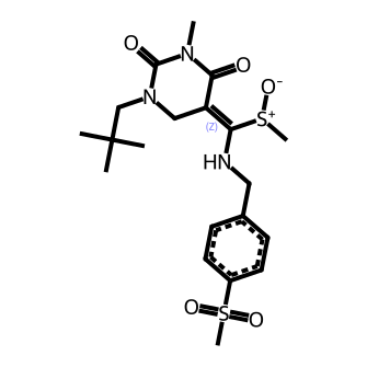 CN1C(=O)/C(=C(/NCc2ccc(S(C)(=O)=O)cc2)[S+](C)[O-])CN(CC(C)(C)C)C1=O